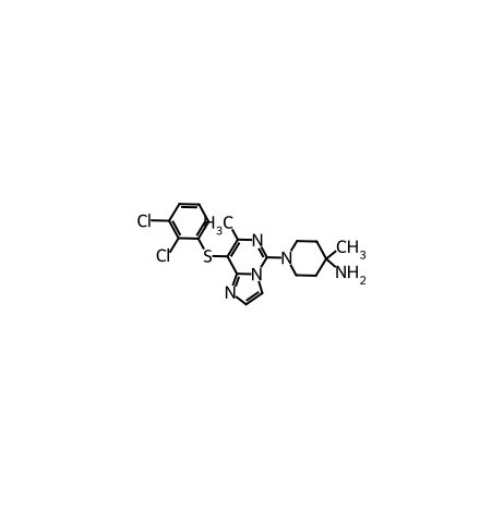 Cc1nc(N2CCC(C)(N)CC2)n2ccnc2c1Sc1cccc(Cl)c1Cl